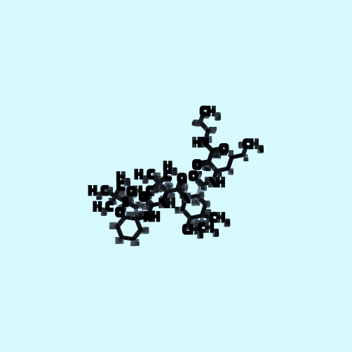 CCCCC(NC(=O)[C@@H]1CC(C)(C)C(C)CN1C(=O)[C@@H](NC(=O)NC1(CS(=O)(=O)C(C)(C)C)CCCCC1)C(C)(C)C)C(=O)C(=O)NCCC